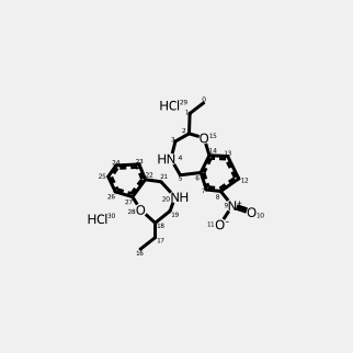 CCC1CNCc2cc([N+](=O)[O-])ccc2O1.CCC1CNCc2ccccc2O1.Cl.Cl